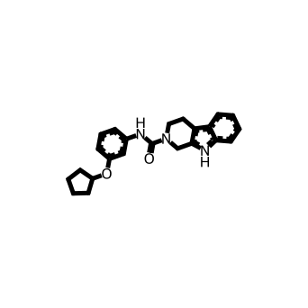 O=C(Nc1cccc(OC2CCCC2)c1)N1CCc2c([nH]c3ccccc23)C1